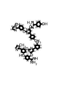 CN1CCN=C1c1cccc(Oc2nc(Oc3cc(O)ccc3C(=N)N)cc(-c3cccc(Cl)c3)n2)c1.Cc1ccc(-c2cc(ON=C(N)c3ccc(O)cc3)nc(Oc3cccc(C4=NCCN4C)c3)n2)cc1